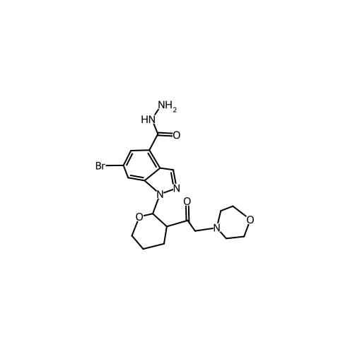 NNC(=O)c1cc(Br)cc2c1cnn2C1OCCCC1C(=O)CN1CCOCC1